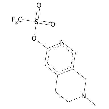 CN1CCc2cc(OS(=O)(=O)C(F)(F)F)ncc2C1